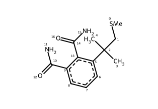 CSCC(C)(C)c1cccc(C(N)=O)c1C(N)=O